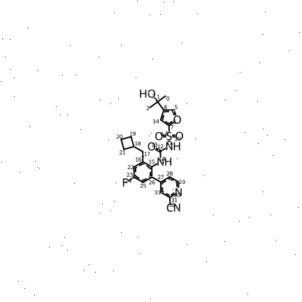 CC(C)(O)c1coc(S(=O)(=O)NC(=O)Nc2c(CC3CCC3)cc(F)cc2-c2ccnc(C#N)c2)c1